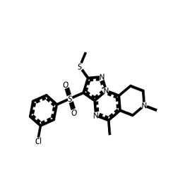 CSc1nn2c3c(c(C)nc2c1S(=O)(=O)c1cccc(Cl)c1)CN(C)CC3